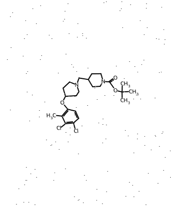 Cc1c(OC2CCN(CC3CCN(C(=O)OC(C)(C)C)CC3)CC2)ccc(Cl)c1Cl